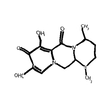 CC1CCN(C)C2Cn3cc(C=O)c(=O)c(O)c3C(=O)N12